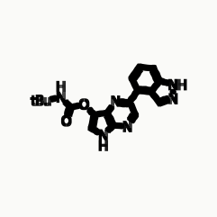 CC(C)(C)NC(=O)Oc1c[nH]c2ncc(-c3cccc4[nH]ncc34)nc12